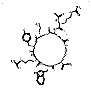 C=C(N)[C@@H]1CCCNC(=O)CC[C@H](NC(=O)[C@H](CCCNC(=N)N)NC(C)=O)C(=O)N[C@@H](CCN)C(=O)N[C@H](Cc2ccc(O)cc2)C(=O)N[C@@H](CCCNC(=N)N)C(=O)N[C@@H](Cc2c[nH]c3ccccc23)C(=O)N1